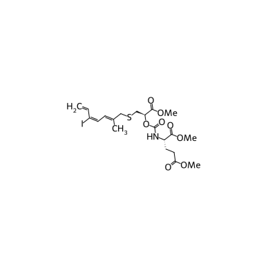 C=C/C(I)=C\C=C(/C)CSC[C@H](OC(=O)N[C@@H](CCC(=O)OC)C(=O)OC)C(=O)OC